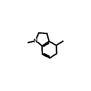 CC1CC=CC2=C1CCN2C